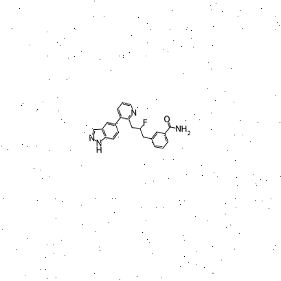 NC(=O)c1cccc(CC(F)Cc2ncccc2-c2ccc3[nH]ncc3c2)c1